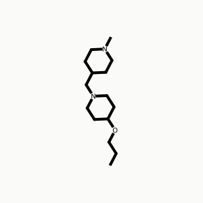 CCCOC1CCN(CC2CCN(C)CC2)CC1